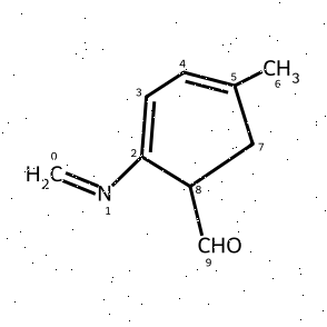 C=NC1=CC=C(C)CC1C=O